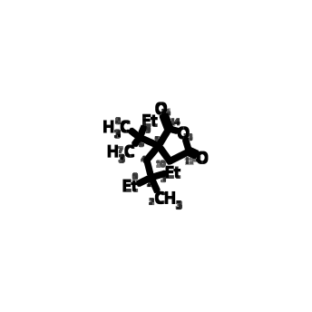 CCC(C)(CC)CC1(C(C)(C)CC)CC(=O)OC1=O